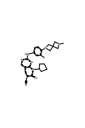 CN1CC2(C1)CN(c1ccc(Nc3ncc4cc(C#N)c(=O)n(C5CCCC5)c4n3)cc1F)C2